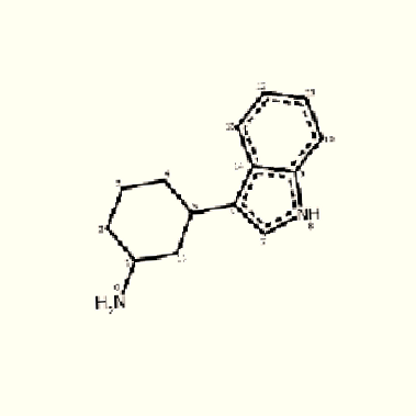 NC1CCCC(c2c[nH]c3ccccc23)C1